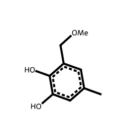 COCc1cc(C)cc(O)c1O